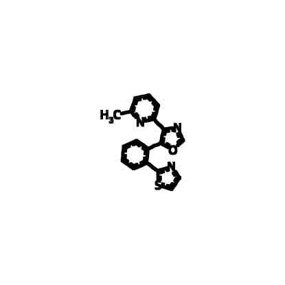 Cc1cccc(-c2ncoc2-c2ccccc2-c2nccs2)n1